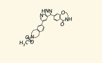 CS(=O)(=O)N1CCc2ccc(-c3cnc4[nH]nc(-c5ccc6c(c5)OCCNC6=O)c4c3)cc2CC1